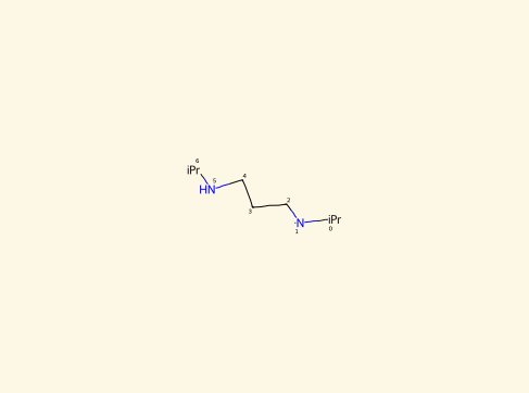 CC(C)[N]CCCNC(C)C